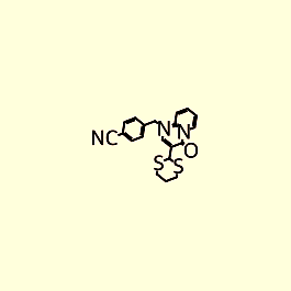 N#Cc1ccc(C[n+]2cc(C3SCCCS3)c(=O)n3ccccc32)cc1